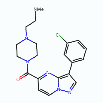 CNCCN1CCN(C(=O)c2ccn3ncc(-c4cccc(Cl)c4)c3n2)CC1